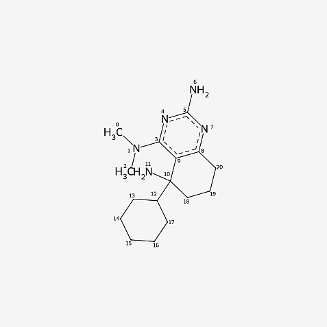 CN(C)c1nc(N)nc2c1C(N)(C1CCCCC1)CCC2